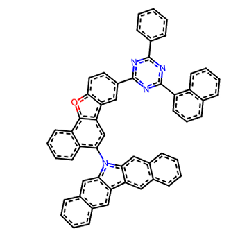 c1ccc(-c2nc(-c3ccc4oc5c6ccccc6c(-n6c7cc8ccccc8cc7c7cc8ccccc8cc76)cc5c4c3)nc(-c3cccc4ccccc34)n2)cc1